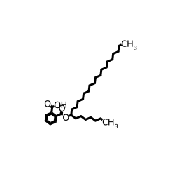 CCCCCCCCCCCCCCCCCCC(CCCCCCC)OC(=O)c1ccccc1C(=O)O